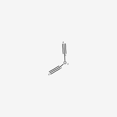 C#COC#C